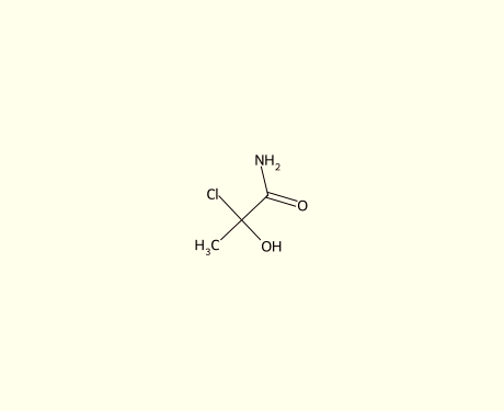 CC(O)(Cl)C(N)=O